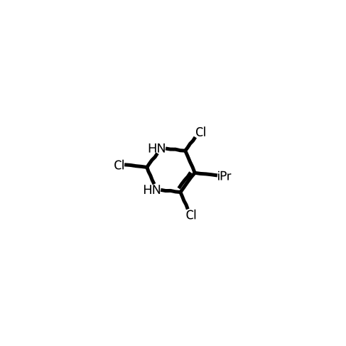 CC(C)C1=C(Cl)NC(Cl)NC1Cl